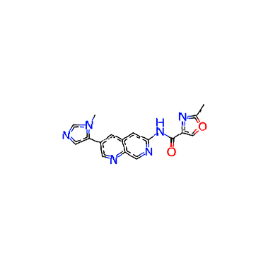 Cc1nc(C(=O)Nc2cc3cc(-c4cncn4C)cnc3cn2)co1